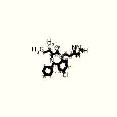 CC[C@H](C)C1N=C(c2ccccc2)c2cc(Cl)ccc2N(CCc2nn[nH]n2)C1=O